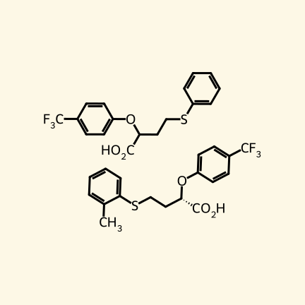 Cc1ccccc1SCC[C@H](Oc1ccc(C(F)(F)F)cc1)C(=O)O.O=C(O)C(CCSc1ccccc1)Oc1ccc(C(F)(F)F)cc1